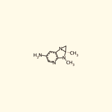 CN1c2ncc(N)cc2N2C[C@@]12C